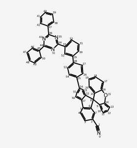 N#Cc1ccc2c(c1)C1(c3ccccc3Oc3ccccc31)c1cc(-c3ccc(-c4cccc(-c5nc(-c6ccccc6)nc(-c6ccccc6)n5)c4)cc3)ccc1-2